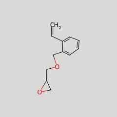 C=Cc1ccccc1COCC1CO1